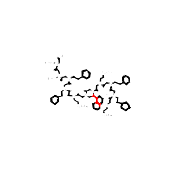 CCCCCCCCCCN(CC(N)=O)C(=O)CN(CCCCCCCCCC)C(=O)CN(CCc1ccccc1)C(=O)CN(CCc1ccccc1)C(=O)CN(CCNC)C(=O)CN(CCc1ccccc1)C(=O)CN(CCc1ccccc1)C(=O)CN(CCNC)C(=O)CN(CCc1ccccc1)C(=O)CN(CCc1ccccc1)C(=O)CNCCNC